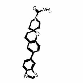 NC(=O)N1CCC2(CCc3cc(-c4ccc5ncsc5c4)ccc3O2)CC1